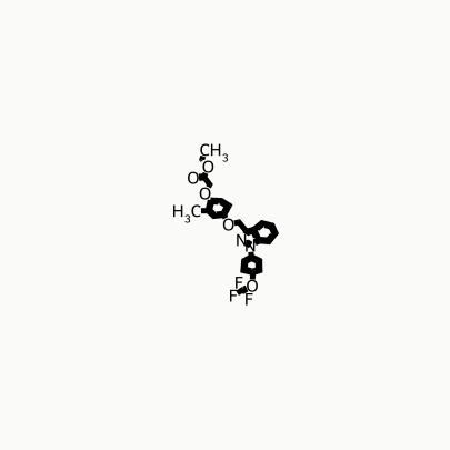 CCOC(=O)COc1ccc(OCc2nn(-c3ccc(OC(F)(F)F)cc3)c3ccccc23)cc1C